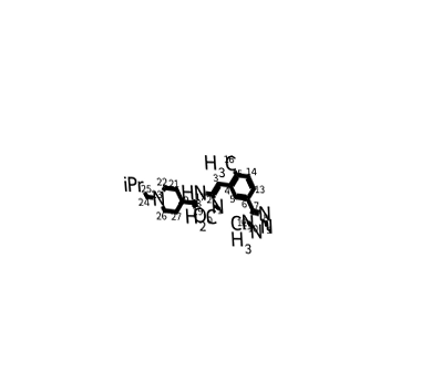 C=N/C(=C\c1cc(-c2nnnn2C)ccc1C)NC(=O)C1CCN(CC(C)C)CC1